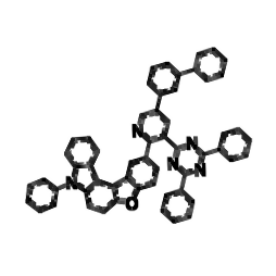 c1ccc(-c2cccc(-c3cnc(-c4ccc5oc6ccc7c(c8ccccc8n7-c7ccccc7)c6c5c4)c(-c4nc(-c5ccccc5)nc(-c5ccccc5)n4)c3)c2)cc1